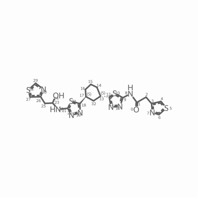 O=C(Cc1cscn1)Nc1nnc([C@H]2CCC[C@H](c3nnc(NC(O)Cc4cscn4)s3)C2)s1